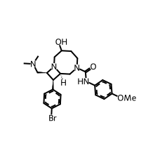 COc1ccc(NC(=O)N2CCC(O)CN3[C@H](CN(C)C)[C@H](c4ccc(Br)cc4)[C@@H]3C2)cc1